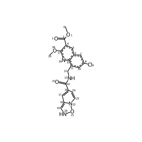 COC(=O)c1cc2cc(Cl)cc(CNC(=O)C3=CC4=CNON4C=C3)c2nc1OC